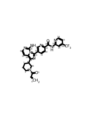 C=CC(=O)N1CCCC(c2nc(-c3ccc(C(=O)Nc4cc(C(F)(F)F)ccn4)nc3)n3c(N)nccc23)C1